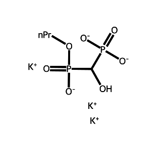 CCCOP(=O)([O-])C(O)P(=O)([O-])[O-].[K+].[K+].[K+]